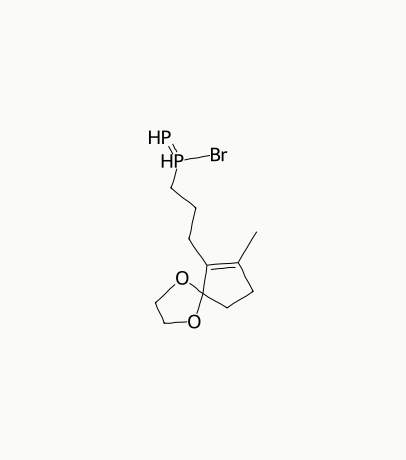 CC1=C(CCC[PH](=P)Br)C2(CC1)OCCO2